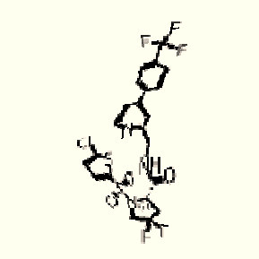 O=C(NCc1cc(-c2ccc(C(F)(F)F)cc2)ccn1)[C@@H]1CC(F)(F)CN1S(=O)(=O)c1ccc(Cl)s1